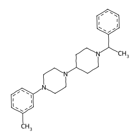 Cc1cccc(N2CCN(C3CCN(C(C)c4ccccc4)CC3)CC2)c1